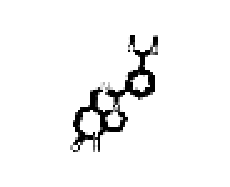 COC(OC)c1cccc(C2=NC=C3C=CC(=O)NC4=C3N2CC4)c1